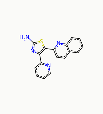 Nc1nc(-c2ccccn2)c(-c2ccc3ccccc3n2)s1